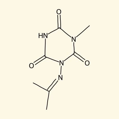 CC(C)=Nn1c(=O)[nH]c(=O)n(C)c1=O